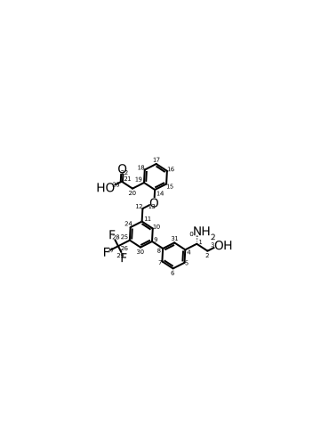 N[C@H](CO)c1cccc(-c2cc(COc3ccccc3CC(=O)O)cc(C(F)(F)F)c2)c1